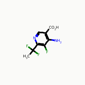 CC(F)(F)c1ncc(C(=O)O)c(N)c1F